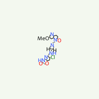 COc1cnc2ccc(=O)n(CCN3C[C@@H]4C(NCc5nc6c(cc5Cl)OCC(=O)N6)[C@@H]4C3)c2c1